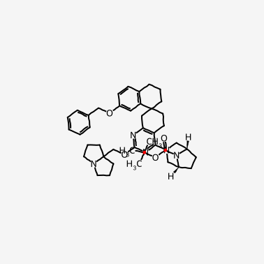 CC(C)(C)OC(=O)N1[C@@H]2CC[C@H]1CN(c1nc(OCC34CCCN3CCC4)nc3c1CCC1(CCCc4ccc(OCc5ccccc5)cc41)C3)C2